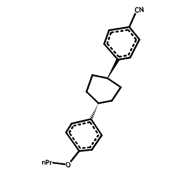 CCCOc1ccc([C@H]2CC[C@H](c3ccc(C#N)cc3)CC2)cc1